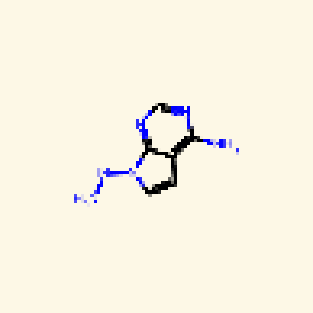 NNn1ccc2c(N)ncnc21